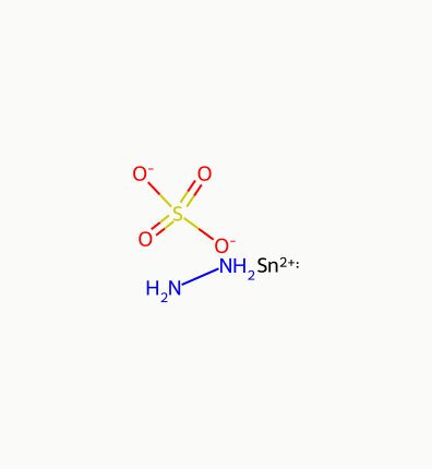 NN.O=S(=O)([O-])[O-].[Sn+2]